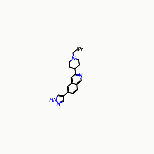 CC(C)CN1CCC(c2cc3cc(-c4cn[nH]c4)ccc3cn2)CC1